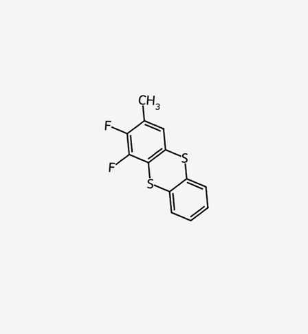 Cc1cc2c(c(F)c1F)Sc1ccccc1S2